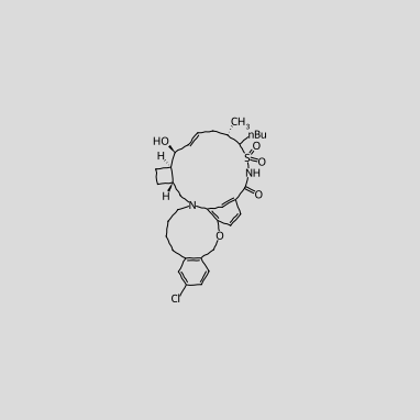 CCCCC1[C@@H](C)C/C=C/[C@H](O)[C@@H]2CC[C@H]2CN2CCCCc3cc(Cl)ccc3COc3ccc(cc32)C(=O)NS1(=O)=O